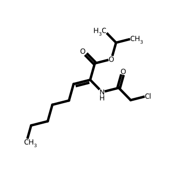 CCCCCC=C(NC(=O)CCl)C(=O)OC(C)C